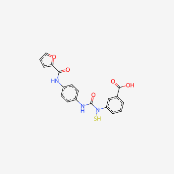 O=C(O)c1cccc(N(S)C(=O)Nc2ccc(NC(=O)c3ccco3)cc2)c1